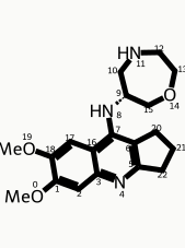 COc1cc2nc3c(c(N[C@@H]4CNCCOC4)c2cc1OC)CCC3